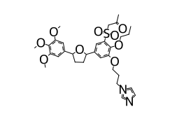 CCCOc1c(OCCCn2ccnc2)cc(C2CCC(c3cc(OC)c(OC)c(OC)c3)O2)cc1S(=O)(=O)CC(C)=O